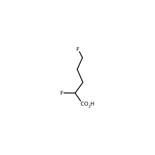 O=C(O)C(F)CCCF